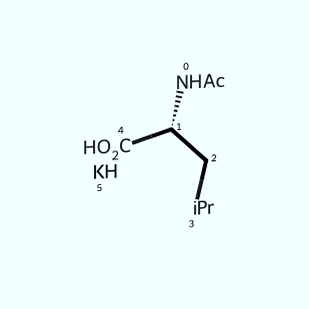 CC(=O)N[C@H](CC(C)C)C(=O)O.[KH]